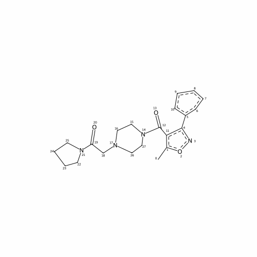 Cc1onc(-c2ccccc2)c1C(=O)N1CCN(CC(=O)N2CCCC2)CC1